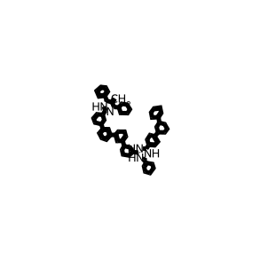 C=C1C(C2CCCCC2)=NC(C2C=CCC(c3cccc(C4=CC(C5CCCC(C6NC(C7=CCCCC7)NC(C7=CC=C(C8CCCC(C9=CC=CCC9)C8)CC7)N6)C5)=CCC4)c3)C2)NC1c1ccccc1